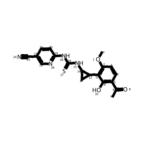 COc1ccc(C(C)=O)c(O)c1C1CC1NC(=S)Nc1ccc(C#N)cn1